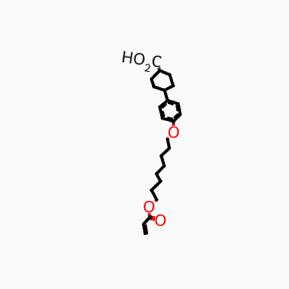 C=CC(=O)OCCCCCCCCOc1ccc(C2CCC(C(=O)O)CC2)cc1